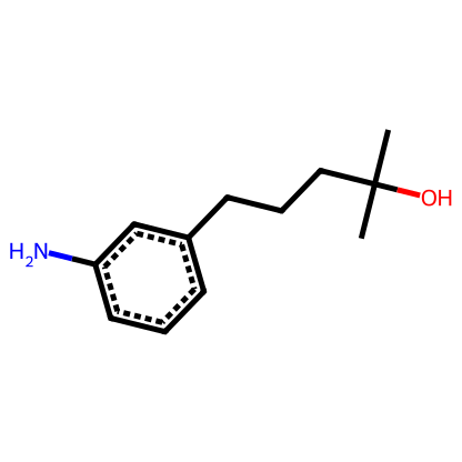 CC(C)(O)CCCc1cccc(N)c1